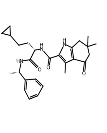 Cc1c(C(=O)N[C@@H](CCC2CC2)C(=O)N[C@@H](C)c2ccccc2)[nH]c2c1C(=O)CC(C)(C)C2